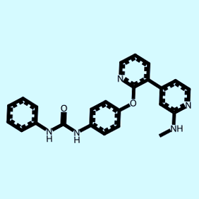 CNc1cc(-c2cccnc2Oc2ccc(NC(=O)Nc3ccccc3)cc2)ccn1